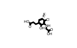 O=C(O)CCc1ccc(Cl)c(NCC(=O)O)c1O.[K].[K]